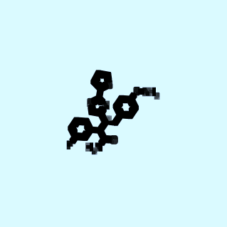 NSc1ccc(C[C@H](c2csc(-c3cccs3)n2)C(C(N)=O)c2cccc(F)c2)cc1